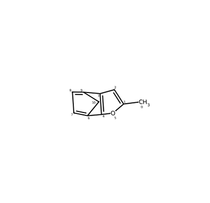 Cc1cc2c(o1)C1=CC=C2C1